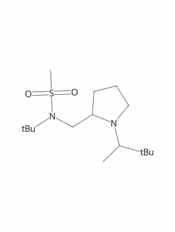 CC(N1CCCC1CN(C(C)(C)C)S(C)(=O)=O)C(C)(C)C